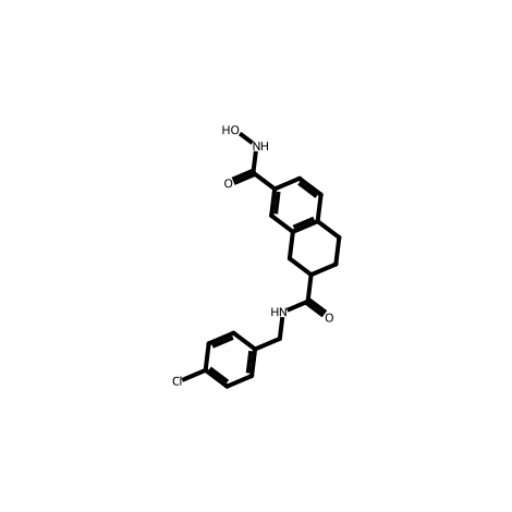 O=C(NO)c1ccc2c(c1)CC(C(=O)NCc1ccc(Cl)cc1)CC2